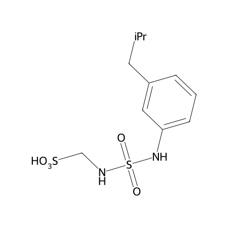 CC(C)Cc1cccc(NS(=O)(=O)NCS(=O)(=O)O)c1